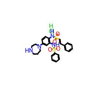 Cl.O=S(=O)(C=Cc1ccccc1)Nc1ccc(N2CCCNCC2)cc1NS(=O)(=O)c1ccccc1